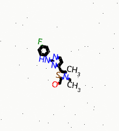 CCN1C(C)=C(c2ccnc(Nc3ccc(F)cc3)n2)SC1C=O